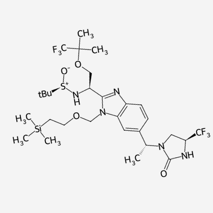 C[C@H](c1ccc2nc([C@H](COC(C)(C)C(F)(F)F)N[S@+]([O-])C(C)(C)C)n(COCC[Si](C)(C)C)c2c1)N1C[C@@H](C(F)(F)F)NC1=O